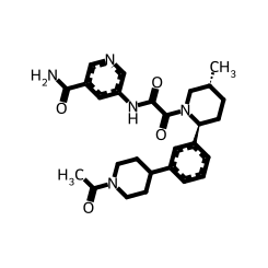 CC(=O)N1CCC(c2cccc([C@@H]3CC[C@@H](C)CN3C(=O)C(=O)Nc3cncc(C(N)=O)c3)c2)CC1